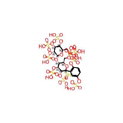 O=S(=O)(O)OC[C@H]1O[C@H](O[C@H]2[C@H](OS(=O)(=O)O)[C@@H](OS(=O)(=O)O)[C@@](S)(c3cc(OS(=O)(=O)O)ccc3OS(=O)(=O)O)O[C@@H]2COS(=O)(=O)O)[C@H](OS(=O)(=O)O)[C@@H](OS(=O)(=O)O)[C@@H]1OS(=O)(=O)O